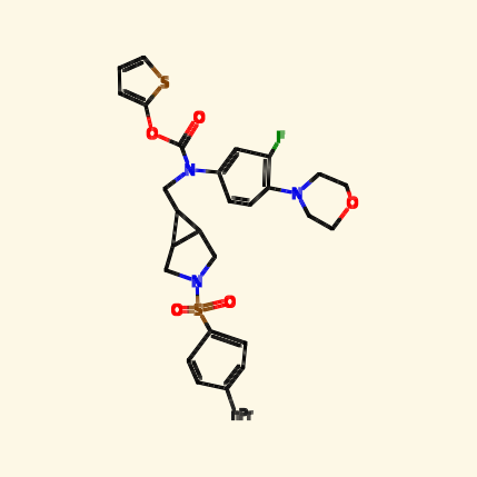 CCCc1ccc(S(=O)(=O)N2CC3C(CN(C(=O)Oc4cccs4)c4ccc(N5CCOCC5)c(F)c4)C3C2)cc1